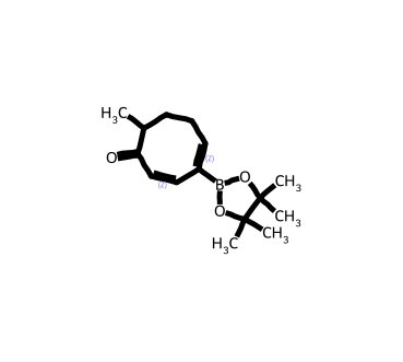 CC1CC/C=C(B2OC(C)(C)C(C)(C)O2)\C=C/C1=O